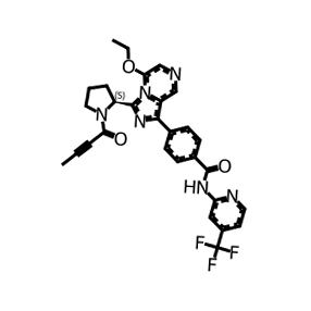 CC#CC(=O)N1CCC[C@H]1c1nc(-c2ccc(C(=O)Nc3cc(C(F)(F)F)ccn3)cc2)c2cncc(OCC)n12